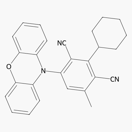 Cc1cc(N2c3ccccc3Oc3ccccc32)c(C#N)c(C2CCCCC2)c1C#N